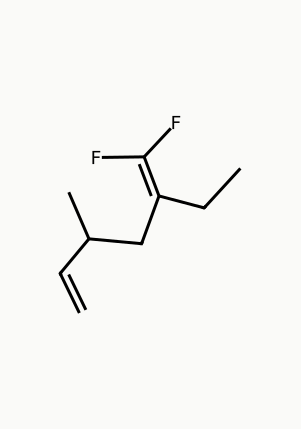 C=CC(C)CC(CC)=C(F)F